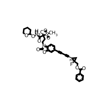 CC(CCn1c(=O)oc2cc(C#CC#C[C@H]3C[C@]3(F)COC(=O)c3ccccc3)ccc21)(C(=O)NOC1CCCCO1)S(C)(=O)=O